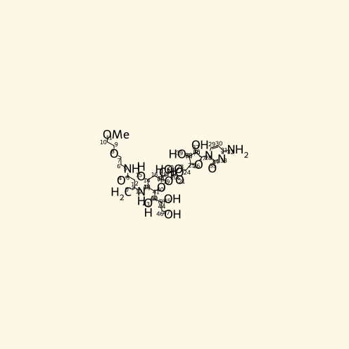 C=C(CC(=O)NCCOCCOC)N[C@@H]1C(O)C[C@](C=O)(OP(=O)(O)OCC2OC(n3ccc(N)nc3=O)[C@H](O)[C@@H]2O)OC1[C@H](O)[C@H](O)CO